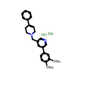 COc1ccc(-c2cncc(CN3CC=C(c4ccccc4)CC3)c2)cc1OC.Cl.Cl